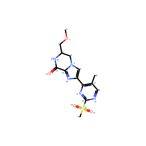 COCC1Cn2cc(-c3nc(S(C)(=O)=O)ncc3C)nc2C(=O)N1